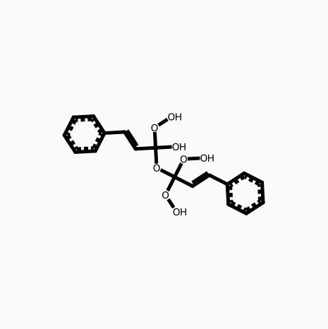 OOC(O)(C=Cc1ccccc1)OC(C=Cc1ccccc1)(OO)OO